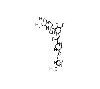 Cc1noc(COc2cnc(C(F)=Cc3cc(F)c(F)c(C4(C)CSN(C)C(N)=N4)c3)cn2)n1